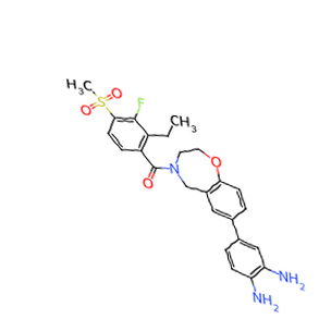 CCc1c(C(=O)N2CCOc3ccc(-c4ccc(N)c(N)c4)cc3C2)ccc(S(C)(=O)=O)c1F